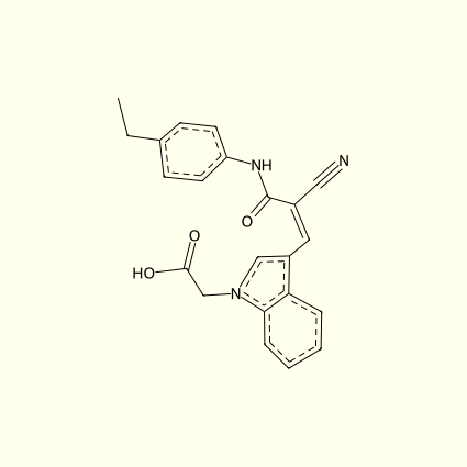 CCc1ccc(NC(=O)C(C#N)=Cc2cn(CC(=O)O)c3ccccc23)cc1